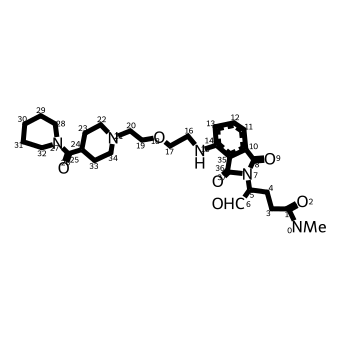 CNC(=O)CCC(C=O)N1C(=O)c2cccc(NCCOCCN3CCC(C(=O)N4CCCCC4)CC3)c2C1=O